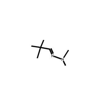 CN(C)N=CC(C)(C)C